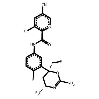 N#Cc1cnc(C(=O)Nc2ccc(F)c([C@]3(CF)C[C@@H](C(F)(F)F)N=C(N)O3)c2)c(Cl)c1